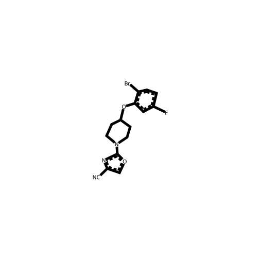 N#Cc1coc(N2CCC(Oc3cc(F)ccc3Br)CC2)n1